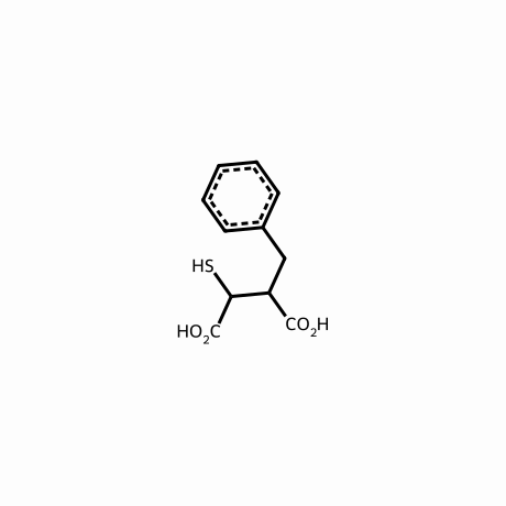 O=C(O)C(S)C(Cc1ccccc1)C(=O)O